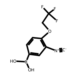 [C-]#[N+]c1cc(B(O)O)ccc1OCC(F)(F)F